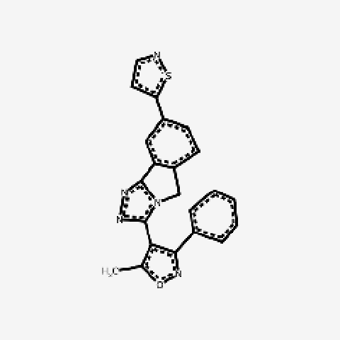 Cc1onc(-c2ccccc2)c1-c1nnc2n1Cc1ccc(-c3ccns3)cc1-2